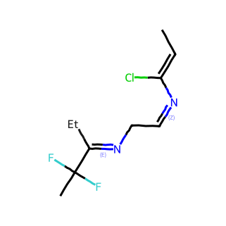 CC=C(Cl)/N=C\C/N=C(\CC)C(C)(F)F